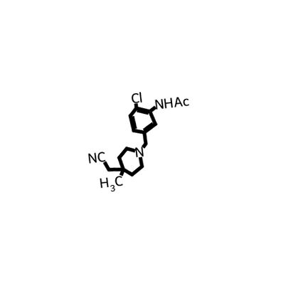 CC(=O)Nc1cc(CN2CCC(C)(CC#N)CC2)ccc1Cl